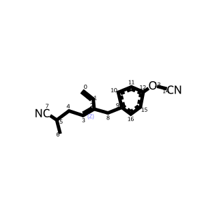 C=C/C(=C\CC(C)C#N)Cc1ccc(OC#N)cc1